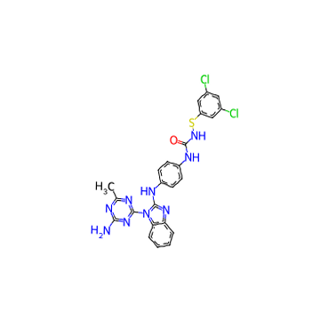 Cc1nc(N)nc(-n2c(Nc3ccc(NC(=O)NSc4cc(Cl)cc(Cl)c4)cc3)nc3ccccc32)n1